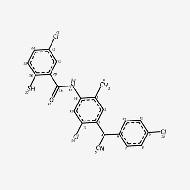 Cc1cc(C(C#N)c2ccc(Cl)cc2)c(Cl)cc1NC(=O)c1cc(Cl)ccc1S